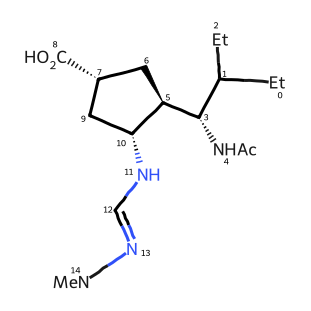 CCC(CC)[C@H](NC(C)=O)[C@@H]1C[C@@H](C(=O)O)C[C@H]1NC=NNC